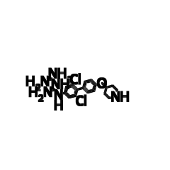 NC(N)NC(N)Nc1cc(Cl)c(-c2ccc(OC3CCNCC3)cc2)c(Cl)c1